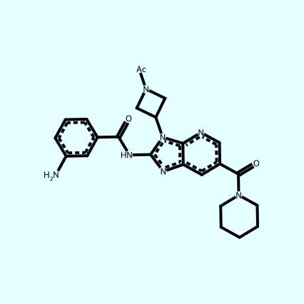 CC(=O)N1CC(n2c(NC(=O)c3cccc(N)c3)nc3cc(C(=O)N4CCCCC4)cnc32)C1